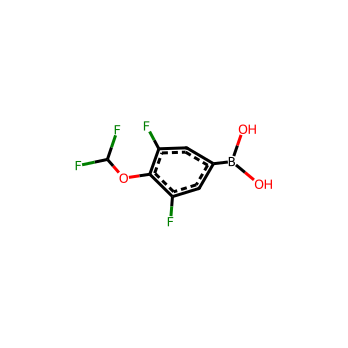 OB(O)c1cc(F)c(OC(F)F)c(F)c1